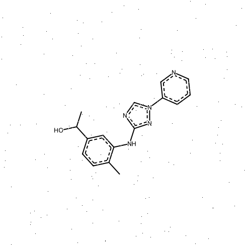 Cc1ccc(C(C)O)cc1Nc1ncn(-c2cccnc2)n1